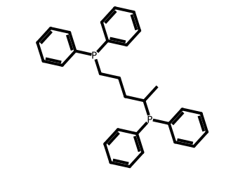 CC(CCCP(c1ccccc1)c1ccccc1)P(c1ccccc1)c1ccccc1